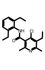 CCc1cccc(CC)c1NC(=O)c1c(C)nc(C)c(CC)c1Cl